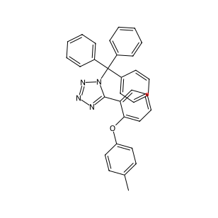 Cc1ccc(Oc2ccccc2-c2nnnn2C(c2ccccc2)(c2ccccc2)c2ccccc2)cc1